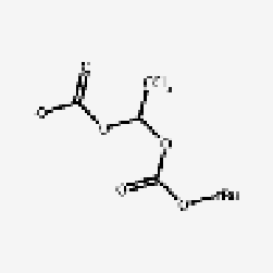 CC(C)(C)OC(=O)OC(OC([O])=O)C(Cl)(Cl)Cl